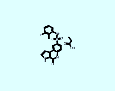 CCC(=O)O.Cc1c(F)cccc1NS(=O)(=O)c1ccc2[nH]c(=O)c3[nH]ccc3c2c1